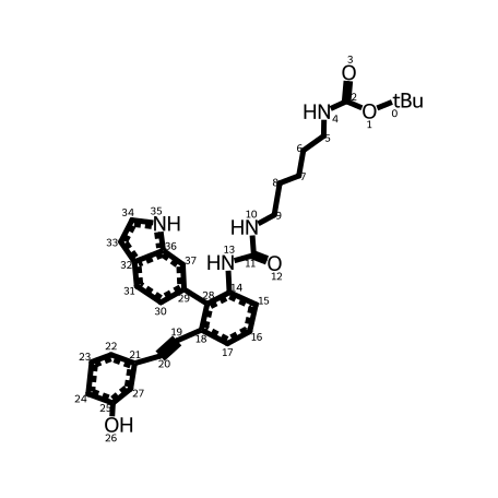 CC(C)(C)OC(=O)NCCCCCNC(=O)Nc1cccc(C#Cc2cccc(O)c2)c1-c1ccc2cc[nH]c2c1